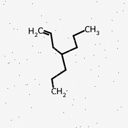 [CH2]CCC(CC=C)CCC